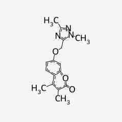 Cc1nc(COc2ccc3c(C)c(C)c(=O)oc3c2)n(C)n1